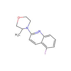 CC1COCCN1c1ccc2c(I)cccc2n1